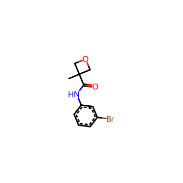 CC1(C(=O)Nc2cccc(Br)c2)COC1